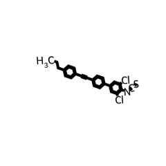 CCCc1ccc(C#Cc2ccc(-c3cc(Cl)c(N=C=S)c(Cl)c3)cc2)cc1